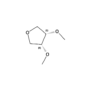 CO[C@H]1COC[C@H]1OC